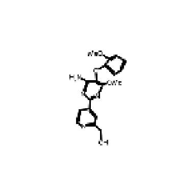 COc1ccccc1Oc1c(N)nc(-c2ccnc(CO)c2)nc1OC